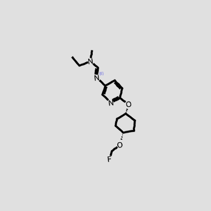 CCN(C)/C=N/c1ccc(O[C@H]2CC[C@@H](OCF)CC2)nc1